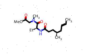 C/C=C/C[C@@H](C)CCC(=O)N[C@@H](CC)C(=O)N(C)CC(=O)OC